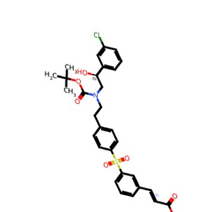 CC(C)(C)OC(=O)N(CCc1ccc(S(=O)(=O)c2cccc(/C=C/C(=O)O)c2)cc1)C[C@@H](O)c1cccc(Cl)c1